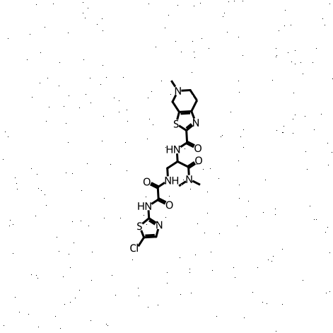 CN1CCc2nc(C(=O)NC(CNC(=O)C(=O)Nc3ncc(Cl)s3)C(=O)N(C)C)sc2C1